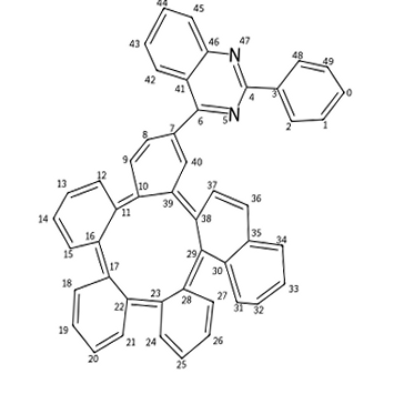 c1ccc(-c2nc(-c3ccc4c5ccccc5c5ccccc5c5ccccc5c5c6ccccc6ccc5c4c3)c3ccccc3n2)cc1